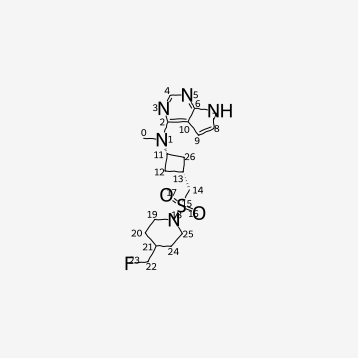 CN(c1ncnc2[nH]ccc12)[C@H]1C[C@@H](CS(=O)(=O)N2CCC(CF)CC2)C1